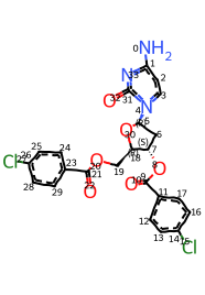 Nc1ccn([C@H]2C[C@H](OC(=O)c3ccc(Cl)cc3)[C@@H](COC(=O)c3ccc(Cl)cc3)O2)c(=O)n1